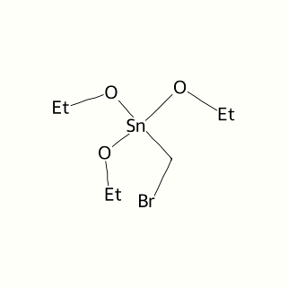 CC[O][Sn]([CH2]Br)([O]CC)[O]CC